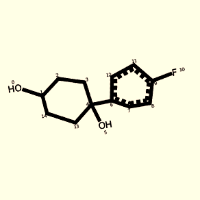 OC1CCC(O)(c2ccc(F)cc2)CC1